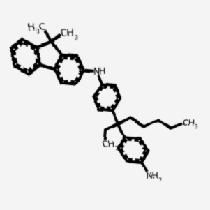 CCCCCC(CC)(c1ccc(N)cc1)c1ccc(Nc2ccc3c(c2)C(C)(C)c2ccccc2-3)cc1